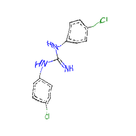 N=C(Nc1ccc(Cl)cc1)Nc1ccc(Cl)cc1